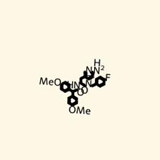 COc1ccc(C(C(=O)NC(Cc2ccc(N)nc2)C(=O)NCc2ccc(F)cc2)c2ccc(OC)cc2)cc1